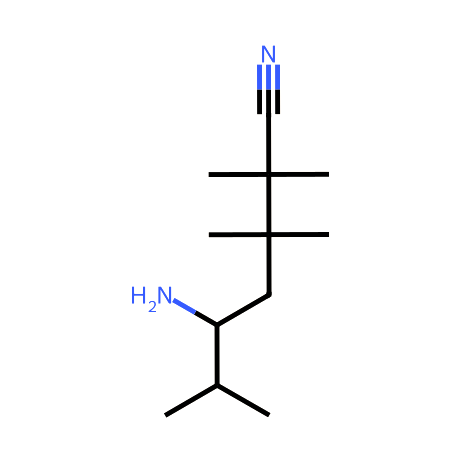 CC(C)C(N)CC(C)(C)C(C)(C)C#N